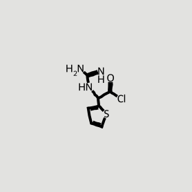 N=C(N)NC(C(=O)Cl)c1cccs1